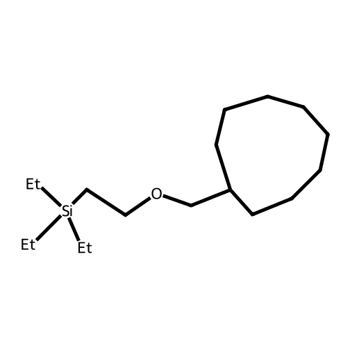 CC[Si](CC)(CC)CCOCC1CCCCCCCC1